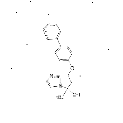 CC(C)(C)C(O)(CCOc1ccc(-c2ccccc2)cc1)n1ccnc1